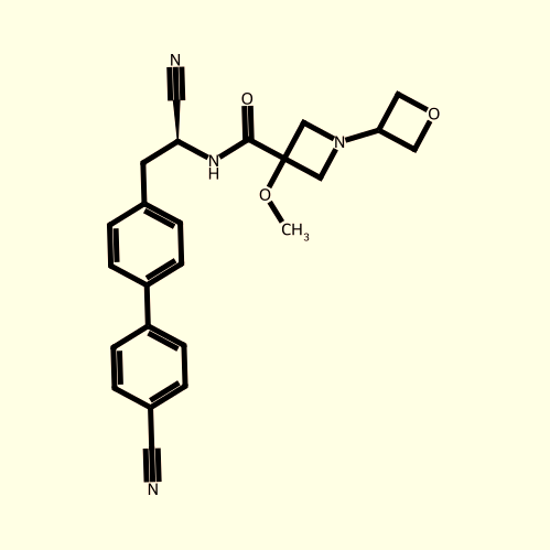 COC1(C(=O)N[C@H](C#N)Cc2ccc(-c3ccc(C#N)cc3)cc2)CN(C2COC2)C1